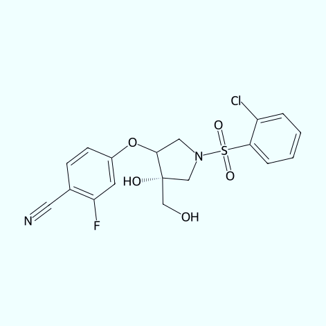 N#Cc1ccc(OC2CN(S(=O)(=O)c3ccccc3Cl)C[C@@]2(O)CO)cc1F